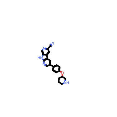 N#Cc1cc2c(cn1)[nH]c1ncc(-c3ccc(OC4CCCNC4)cc3)cc12